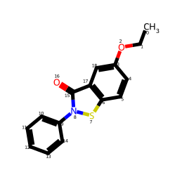 CCOc1ccc2sn(-c3ccccc3)c(=O)c2c1